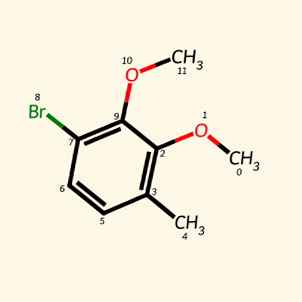 COc1c(C)ccc(Br)c1OC